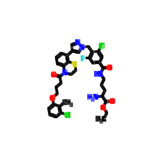 CCOC(=O)[C@@H](N)CCCNC(=O)c1cc(F)c(Cn2cc(-c3cccc4c3SCCN4C(=O)CCCOc3cccc(Cl)c3C)cn2)c(Cl)c1